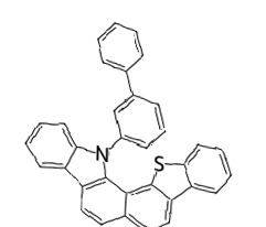 c1ccc(-c2cccc(-n3c4ccccc4c4ccc5ccc6c7ccccc7sc6c5c43)c2)cc1